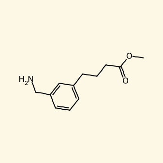 COC(=O)CCCc1cccc(CN)c1